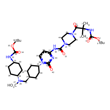 CC(C)(C)OC(=O)NC(C)(C)C(=O)N1CCN(C(=O)Nc2ccn([C@H]3CC[C@H](CN(C(=O)O)[C@H]4CC[C@H](NC(=O)OC(C)(C)C)CC4)CC3)c(=O)n2)CC1